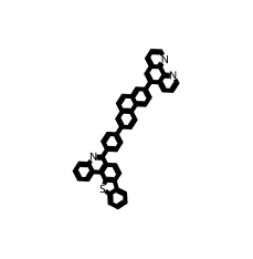 c1cnc2c(c1)cc(-c1ccc3c(ccc4cc(-c5ccc(-c6nc7ccccc7c7c6ccc6c8ccccc8sc67)cc5)ccc43)c1)c1cccnc12